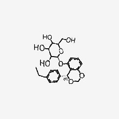 CCc1ccc([C@H]2OCOc3cccc(OC4OC(CO)C(O)C(O)C4O)c32)cc1